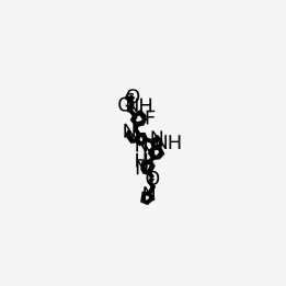 CS(=O)(=O)NCc1cc(F)cc(-c2nccc3[nH]c(-c4n[nH]c5ccc(-c6cncc(OCCN7CCCC7)c6)nc45)cc23)c1